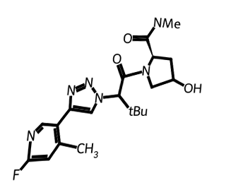 CNC(=O)[C@H]1CC(O)CN1C(=O)C(n1cc(-c2cnc(F)cc2C)nn1)C(C)(C)C